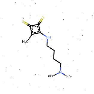 CCCN(CCC)CCCCNc1c(C)c(=S)c1=S